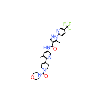 Cc1cc(NC(=O)c2cnn(-c3ccc(C(F)(F)F)cn3)c2C)cnc1C1=CCN(C(=O)N2CCOCC2)CC1